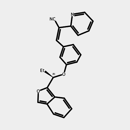 CC[C@@H](Oc1cccc(C=C(C#N)c2ccccn2)c1)c1occ2ccccc12